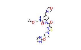 O=C(Nc1ccc(CN2CCOCC2)cc1C(=O)NCCOC1CC1)c1csc(N2CCC(Oc3ncccn3)CC2)n1